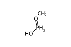 O=[PH2]O.[CH]